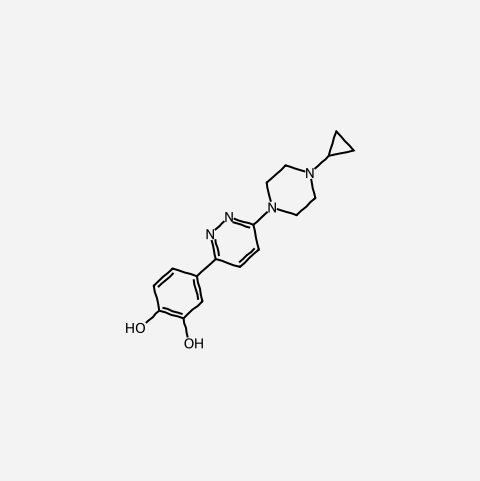 Oc1ccc(-c2ccc(N3CCN(C4CC4)CC3)nn2)cc1O